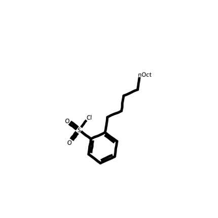 CCCCCCCCCCCCc1ccccc1S(=O)(=O)Cl